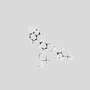 CO[C@@H]1CCN(c2nc(-c3c(C)ccc4[nH]nc(C)c34)nc3c2CN(c2c(F)c(C(F)(F)F)nn2C)CC3)CC1(C)C